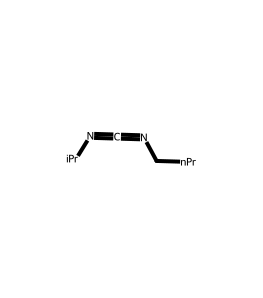 CCCCN=C=NC(C)C